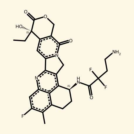 CC[C@@]1(O)C(=O)OCc2c1cc1n(c2=O)Cc2c-1nc1cc(F)c(C)c3c1c2[C@@H](NC(=O)C(F)(F)CCN)CC3